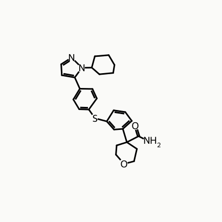 NC(=O)C1(c2cccc(Sc3ccc(-c4ccnn4C4CCCCC4)cc3)c2)CCOCC1